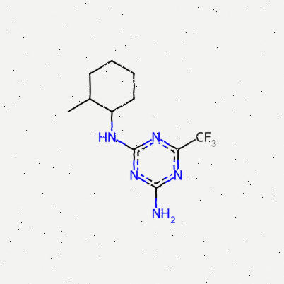 CC1CCCCC1Nc1nc(N)nc(C(F)(F)F)n1